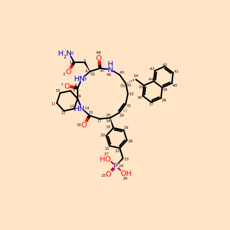 NC(=O)C[C@@H]1NC(=O)C2(CCCCC2)NC(=O)C[C@H](c2ccc(CP(=O)(O)O)cc2)/C=C\C[C@@H](Cc2cccc3ccccc23)CNC1=O